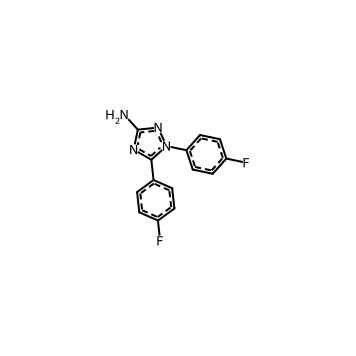 Nc1nc(-c2ccc(F)cc2)n(-c2ccc(F)cc2)n1